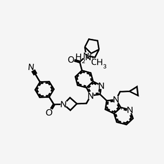 C[C@@]1(N)C2CCC1N(C(=O)c1ccc3c(c1)nc(-c1cc4cccnc4n1CC1CC1)n3CC1CN(C(=O)c3ccc(C#N)cc3)C1)C2